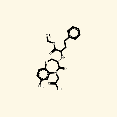 CCOC(=O)C(CCc1ccccc1)N[C@H]1COc2ccc(C)cc2N(CC(=O)O)C1=O